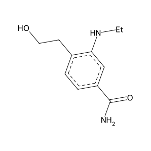 CCNc1cc(C(N)=O)ccc1CCO